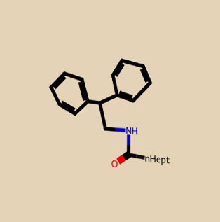 [CH2]CCCCCCC(=O)NCC(c1ccccc1)c1ccccc1